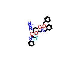 C[C@H]([C@@H]1CC[C@@H](N=[N+]=[N-])[C@@H](O/C(=N/c2ccccc2)C(F)(F)F)O1)N(Cc1ccccc1)C(=O)OCc1ccccc1